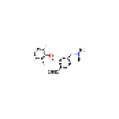 CCN(CC)Cc1ccc(C=O)c(COc2c(C)cccc2C)c1